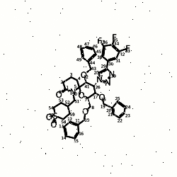 O=C1CCCC2(O[C@H](COCc3ccccc3)[C@H](OCc3ccccc3)[C@@H](n3cc(-c4cc(F)c(F)c(F)c4)nn3)[C@@H]2OCc2ccccc2)N1CC1CCS(=O)(=O)CC1